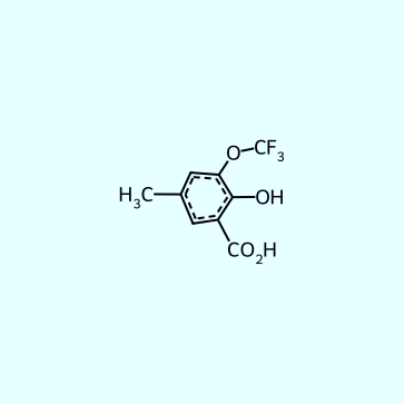 Cc1cc(OC(F)(F)F)c(O)c(C(=O)O)c1